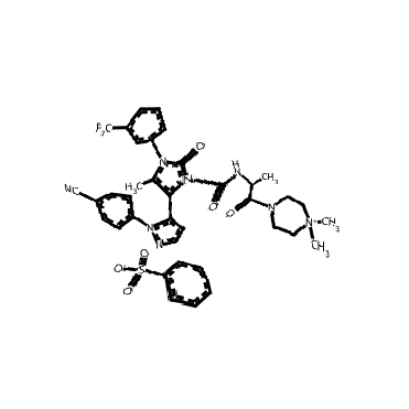 Cc1c(-c2ccnn2-c2ccc(C#N)cc2)n(C(=O)N[C@@H](C)C(=O)N2CC[N+](C)(C)CC2)c(=O)n1-c1cccc(C(F)(F)F)c1.O=S(=O)([O-])c1ccccc1